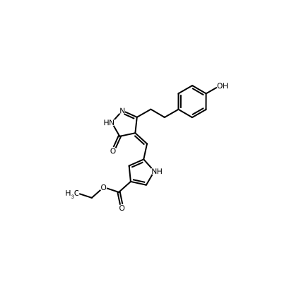 CCOC(=O)c1c[nH]c(C=C2C(=O)NN=C2CCc2ccc(O)cc2)c1